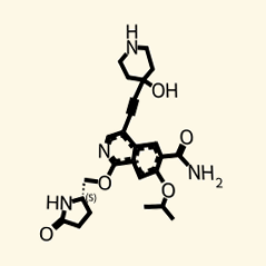 CC(C)Oc1cc2c(OC[C@@H]3CCC(=O)N3)ncc(C#CC3(O)CCNCC3)c2cc1C(N)=O